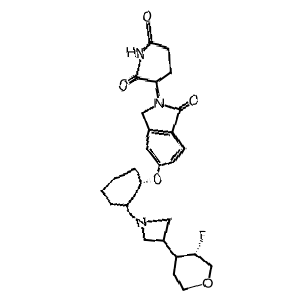 O=C1CCC(N2Cc3cc(O[C@H]4CCCC[C@@H]4N4CC(C5CCOC[C@H]5F)C4)ccc3C2=O)C(=O)N1